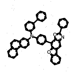 c1ccc(-c2cccc(N(c3ccc(-c4c5oc(-c6ccccc6)nc5cc5c4oc4ccccc45)cc3)c3ccc4c(ccc5ccccc54)c3)c2)cc1